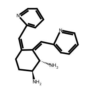 N[C@H]1CCC(=Cc2ccccn2)C(=Cc2ccccn2)[C@@H]1N